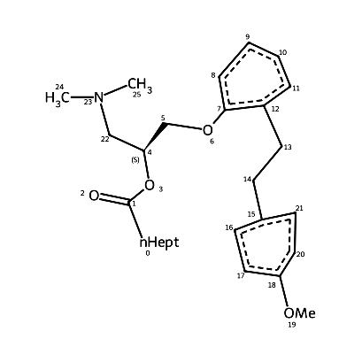 CCCCCCCC(=O)O[C@H](COc1ccccc1CCc1ccc(OC)cc1)CN(C)C